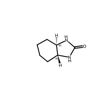 O=C1N[C@@H]2CCCC[C@H]2N1